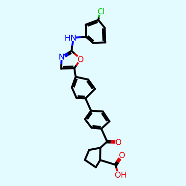 O=C(O)C1CCCC1C(=O)c1ccc(-c2ccc(-c3cnc(Nc4cccc(Cl)c4)o3)cc2)cc1